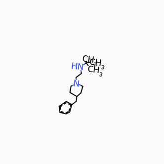 CC(C)(C)NCCN1CCC(Cc2ccccc2)CC1